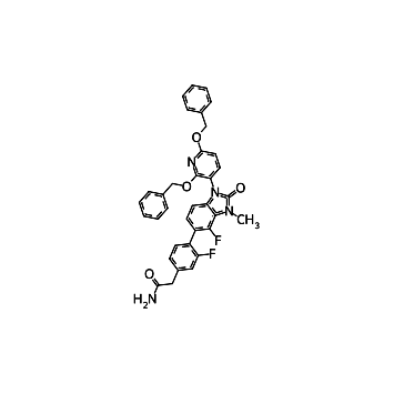 Cn1c(=O)n(-c2ccc(OCc3ccccc3)nc2OCc2ccccc2)c2ccc(-c3ccc(CC(N)=O)cc3F)c(F)c21